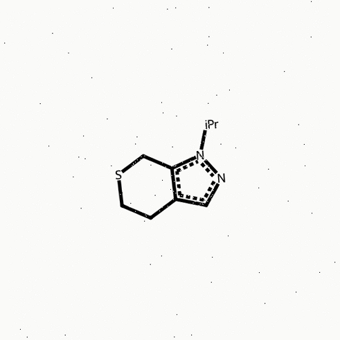 CC(C)n1ncc2c1CSCC2